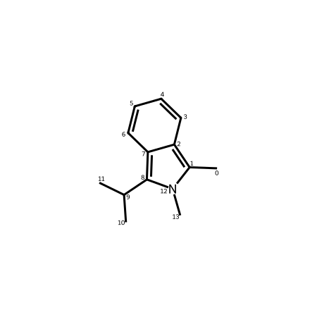 Cc1c2ccccc2c(C(C)C)n1C